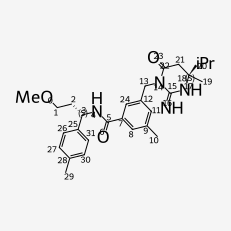 COCC[C@H](NC(=O)c1cc(C)cc(CN2C(=N)N[C@](C)(C(C)C)CC2=O)c1)c1ccc(C)cc1